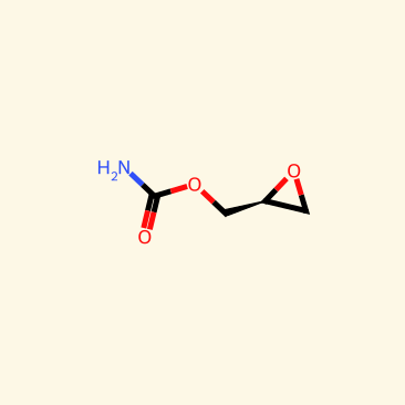 NC(=O)OC[C@@H]1CO1